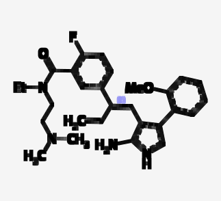 C=C/C(=C\c1c(-c2ccccc2OC)c[nH]c1N)c1ccc(F)c(C(=O)N(CC)CCN(C)C)c1